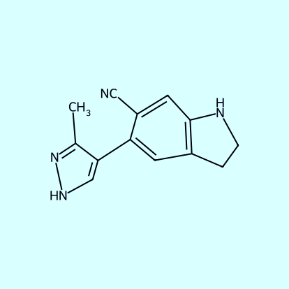 Cc1n[nH]cc1-c1cc2c(cc1C#N)NCC2